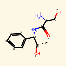 C[C@H](O)[C@@H](NC(=O)[C@H](N)CO)c1ccccc1